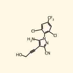 N#Cc1nn(-c2c(Cl)cc(C(F)(F)F)cc2Cl)c(N)c1C#CCO